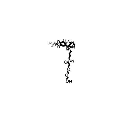 Nc1nc2cc(-c3nn(CCCCNC(=O)CCOCCOCCO)c4ncnc(N)c34)ccc2o1